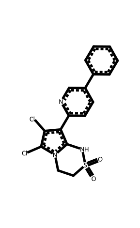 O=S1(=O)CCn2c(Cl)c(Cl)c(-c3ccc(-c4ccccc4)cn3)c2N1